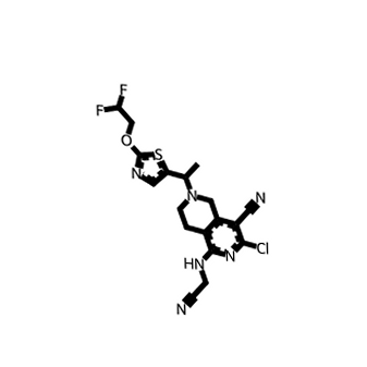 CC(c1cnc(OCC(F)F)s1)N1CCc2c(NCC#N)nc(Cl)c(C#N)c2C1